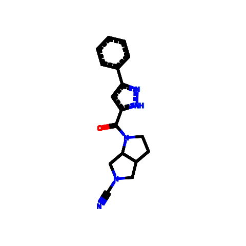 N#CN1CC2CCN(C(=O)c3cc(-c4ccccc4)n[nH]3)C2C1